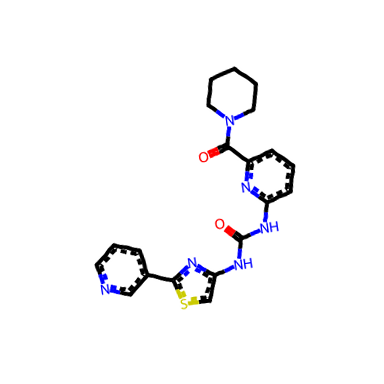 O=C(Nc1cccc(C(=O)N2CCCCC2)n1)Nc1csc(-c2cccnc2)n1